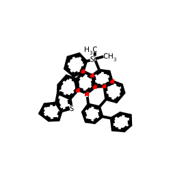 C[Si]1(C)c2ccccc2-c2c(N(c3cccc(-c4ccccc4)c3-c3ccccc3-c3ccccc3)c3cccc4c3sc3ccccc34)cccc21